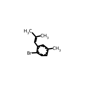 CC(C)=Cc1cc(C)ccc1Br